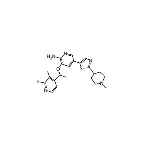 Cc1c(C(C)Oc2cc(-c3cnc(C4CCN(C)CC4)s3)cnc2N)ccnc1I